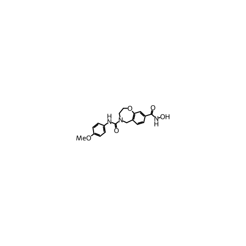 COc1ccc(NC(=O)N2CCOc3cc(C(=O)NO)ccc3C2)cc1